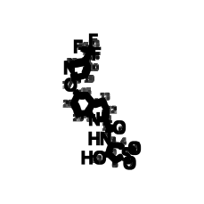 O=C(NC1CS(=O)(=O)CC1O)c1ccc2cc(Oc3ccc(C(F)(F)F)cn3)ccc2n1